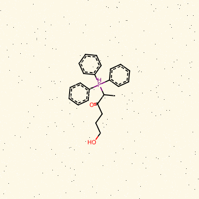 CC(C(=O)CCCO)[PH](c1ccccc1)(c1ccccc1)c1ccccc1